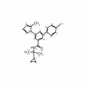 Cc1nccn1-c1cc(C(=O)NC(C)(C)C2CC2)cc(-c2ccc(F)cc2)c1